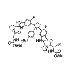 COC(=O)NCC(=O)N1CCC[C@H]1c1nc2cc([C@H]3CC[C@@H](c4cc5[nH]c([C@@H]6CCCN6C(=O)C(NC(=O)OC)C(C)C)nc5cc4F)N3c3ccc(C(C)(C)C)cc3)c(F)cc2[nH]1